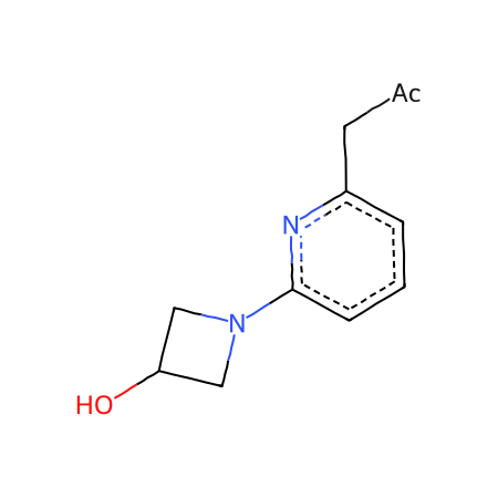 CC(=O)Cc1cccc(N2CC(O)C2)n1